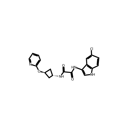 O=C(Nc1c[nH]c2ccc(Cl)cc12)C(=O)N[C@H]1C[C@H](Oc2ccccn2)C1